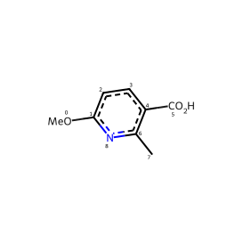 COc1ccc(C(=O)O)c(C)n1